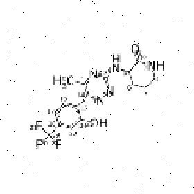 Cc1nc(N[C@@H]2CCCNC2=O)nnc1-c1ccc(C(F)(F)F)cc1O